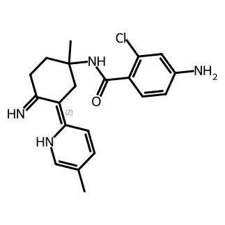 CC1=CN/C(=C2/CC(C)(NC(=O)c3ccc(N)cc3Cl)CCC2=N)C=C1